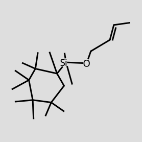 CC=CCO[Si](C)(C)C1(C)CC(C)(C)C(C)(C)C(C)(C)C1(C)C